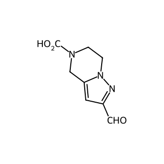 O=Cc1cc2n(n1)CCN(C(=O)O)C2